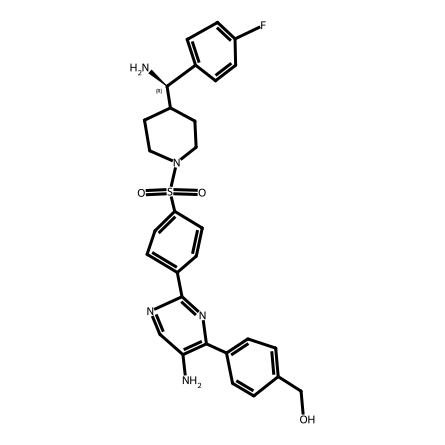 Nc1cnc(-c2ccc(S(=O)(=O)N3CCC([C@@H](N)c4ccc(F)cc4)CC3)cc2)nc1-c1ccc(CO)cc1